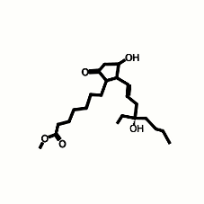 CCCC[C@@](O)(CC)CC=CC1C(O)CC(=O)C1CCCCCCC(=O)OC